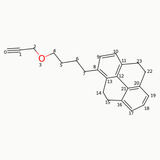 C#CCOCCCCc1ccc2c3c1CCc1cccc(c1-3)CC2